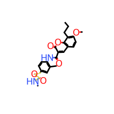 CCCc1c(OC)ccc2cc(C(=O)Nc3ccc(S(=O)(=O)NC)cc3C)c(=O)oc12